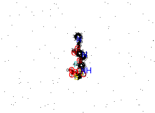 COC(=O)Oc1sccc1S(=O)(=O)Nc1ccc(Oc2ccnc3cc(OCCCN4CCCCC4)c(OC)cc23)c(F)c1